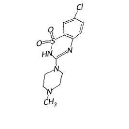 CN1CCN(C2=Nc3ccc(Cl)cc3S(=O)(=O)N2)CC1